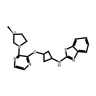 C[C@H]1CCN(c2nccnc2OC2CC(Nc3nc4ccccc4s3)C2)C1